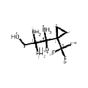 BC(B)(CO)C(B)(B)C1(C(F)(F)F)CC1